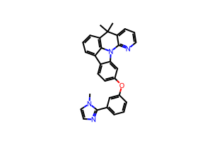 Cn1ccnc1-c1cccc(Oc2ccc3c4cccc5c4n(c3c2)-c2ncccc2C5(C)C)c1